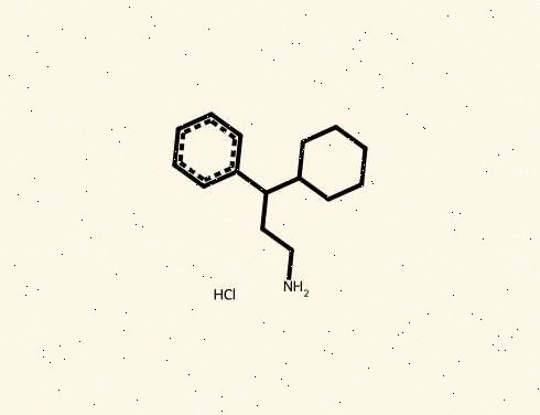 Cl.NCCC(c1ccccc1)C1CCCCC1